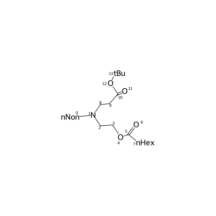 CCCCCCCCCN(CCOC(=O)CCCCCC)CCC(=O)OC(C)(C)C